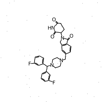 O=C1CCC(N2Cc3cc(CN4CCN(C(c5cccc(F)c5)c5cccc(F)c5)CC4)ccc3C2=O)C(=O)N1